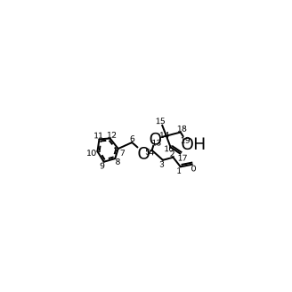 C=CCCC(OCc1ccccc1)OC(C)(C=C)CO